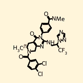 CNC(=O)c1ccc(-n2c(NCC(n3cncn3)C(F)(F)F)nc3c(c2=O)C[C@@H](C)N(C(=O)c2ccc(Cl)c(Cl)c2)C3)cc1